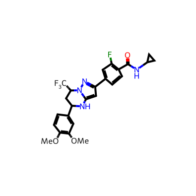 COc1ccc(C2CC(C(F)(F)F)n3nc(-c4ccc(C(=O)NC5CC5)c(F)c4)cc3N2)cc1OC